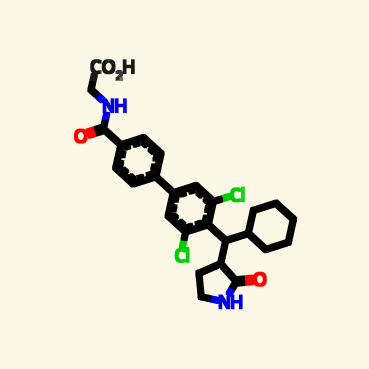 O=C(O)CNC(=O)c1ccc(-c2cc(Cl)c(C(C3CCCCC3)C3CCNC3=O)c(Cl)c2)cc1